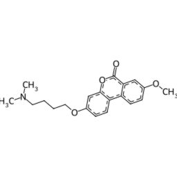 COc1ccc2c(c1)c(=O)oc1cc(OCCCCN(C)C)ccc12